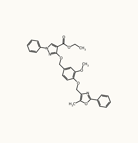 CCOC(=O)c1cn(-c2ccccc2)nc1OCc1ccc(OCc2nc(-c3ccccc3)oc2C)c(OC)c1